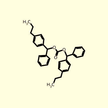 CCCc1ccc(C(OC(=O)OC(c2ccccc2)c2ccc(CCC)cc2)c2ccccc2)cc1